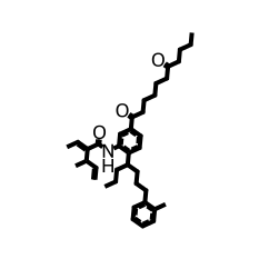 C=CC(C)/C(=C\C)C(=O)Nc1cc(C(=O)CCCCCC(=O)CCCC)ccc1C(CCC)CCCc1ccccc1C